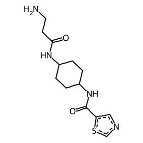 NCCC(=O)NC1CCC(NC(=O)c2cncs2)CC1